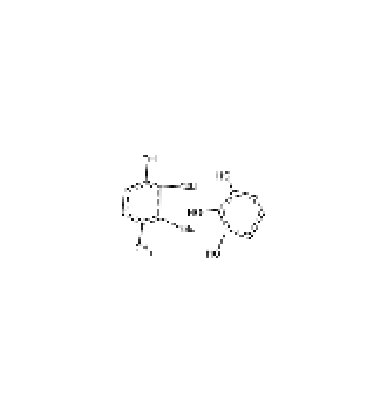 Cc1ccc(O)c(C(C)(C)C)c1C(C)(C)C.Oc1cccc(O)c1O